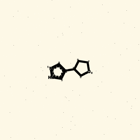 c1n[nH]cc1C1CCOC1